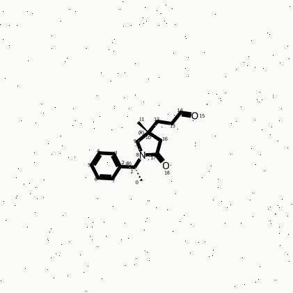 C[C@H](c1ccccc1)N1C[C@](C)(CCC=O)CC1=O